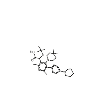 Cc1nc(C)c(C(OC(C)(C)C)C(=O)O)c(N2CCC(C)(C)CC2)c1-c1ccc(N2CCCCC2)cc1